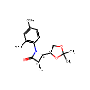 COc1ccc(N2C(=O)[C@H](C(C)=O)[C@H]2[C@H]2COC(C)(C)O2)c(OC)c1